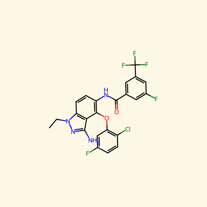 CCn1nc(N)c2c(Oc3cc(F)ccc3Cl)c(NC(=O)c3cc(F)cc(C(F)(F)F)c3)ccc21